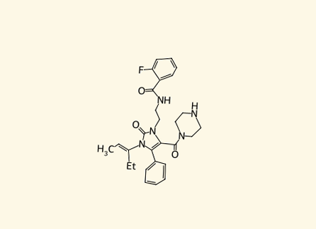 C/C=C(\CC)n1c(-c2ccccc2)c(C(=O)N2CCNCC2)n(CCNC(=O)c2ccccc2F)c1=O